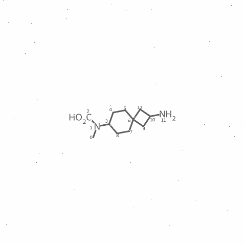 CN(C(=O)O)C1CCC2(CC1)CC(N)C2